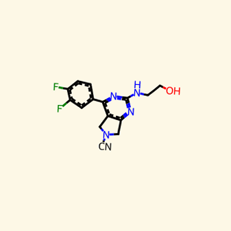 N#CN1Cc2nc(NCCO)nc(-c3ccc(F)c(F)c3)c2C1